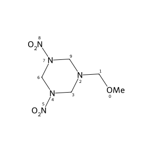 COCN1CN([N+](=O)[O-])CN([N+](=O)[O-])C1